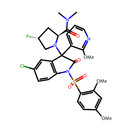 COc1ccc(S(=O)(=O)N2C(=O)C(c3cccnc3OC)(N3C[C@H](F)C[C@H]3C(=O)N(C)C)c3cc(Cl)ccc32)c(OC)c1